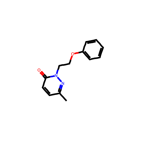 Cc1ccc(=O)n(CCOc2ccccc2)n1